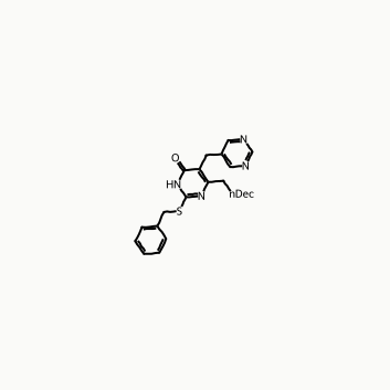 CCCCCCCCCCCc1nc(SCc2ccccc2)[nH]c(=O)c1Cc1cncnc1